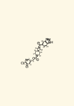 O=C(OCc1cnc(Cl)c(Cl)c1)N1CCC2(CC1)CN(C(=O)c1ccc3[nH]nnc3c1)C2